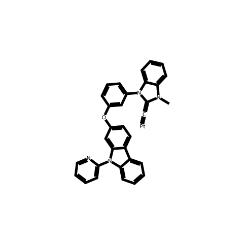 CN1C(=[C]=[Pt])N(c2cccc(Oc3ccc4c5ccccc5n(-c5ccccn5)c4c3)c2)c2ccccc21